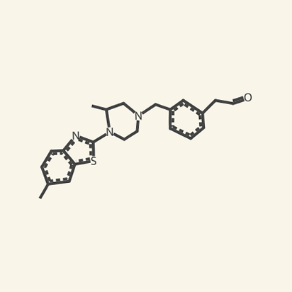 Cc1ccc2nc(N3CCN(Cc4cccc(CC=O)c4)CC3C)sc2c1